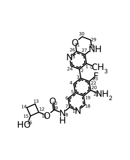 Cc1c(-c2cc3cc(NC(=O)OC4CCC4O)ncc3c(N)c2F)cnc2c1NCCO2